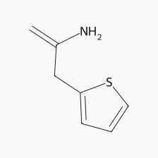 C=C(N)Cc1cccs1